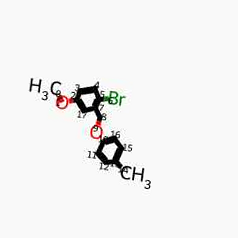 COc1ccc(Br)c(COc2ccc(C)cc2)c1